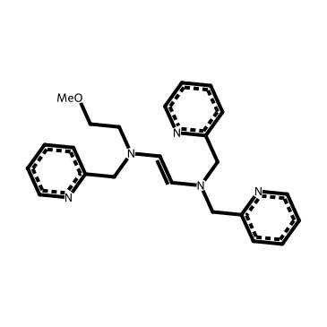 COCCN(/C=C/N(Cc1ccccn1)Cc1ccccn1)Cc1ccccn1